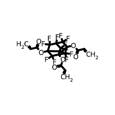 C=CC(=O)OC12C(F)(F)C3(F)C(F)(F)C(OC(=O)C=C)(C1(F)F)C(F)(F)C(OC(=O)C=C)(C3(F)F)C2(F)F